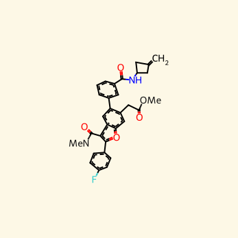 C=C1CC(NC(=O)c2cccc(-c3cc4c(C(=O)NC)c(-c5ccc(F)cc5)oc4cc3CC(=O)OC)c2)C1